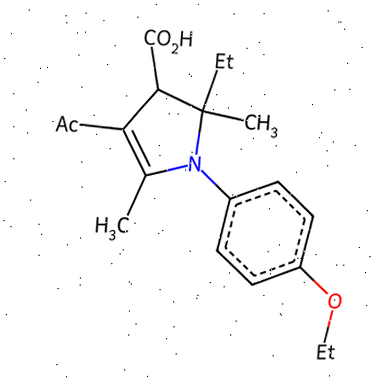 CCOc1ccc(N2C(C)=C(C(C)=O)C(C(=O)O)C2(C)CC)cc1